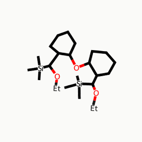 CCOC(C1CCCCC1OC1CCCCC1C(OCC)[Si](C)(C)C)[Si](C)(C)C